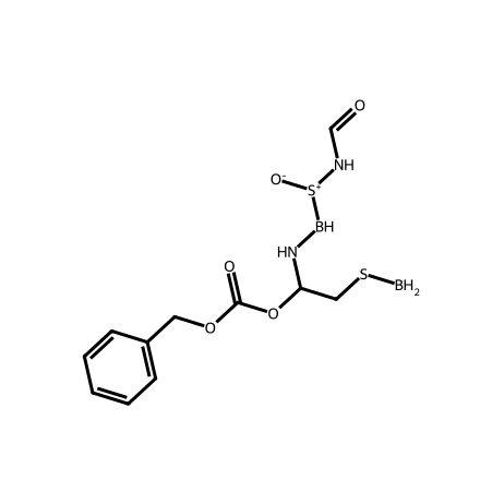 BSCC(NB[S+]([O-])NC=O)OC(=O)OCc1ccccc1